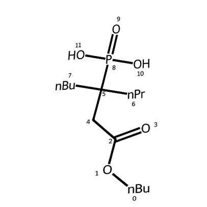 CCCCOC(=O)CC(CCC)(CCCC)P(=O)(O)O